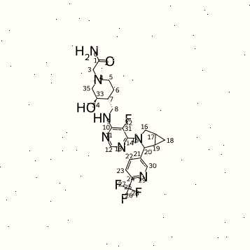 NC(=O)CN1CC[C@H](CNc2ncnc(N3CC4CC4C3c3ccc(C(F)(F)F)nc3)c2F)[C@@H](O)C1